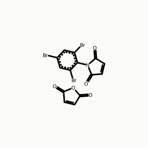 O=C1C=CC(=O)N1c1c(Br)cc(Br)cc1Br.O=C1C=CC(=O)O1